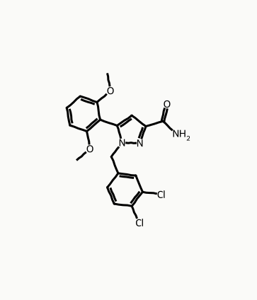 COc1cccc(OC)c1-c1cc(C(N)=O)nn1Cc1ccc(Cl)c(Cl)c1